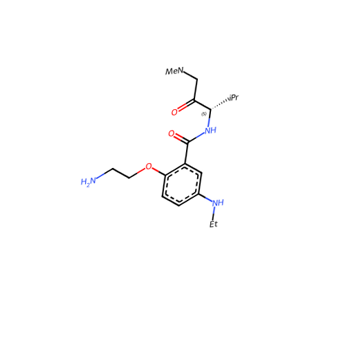 CCNc1ccc(OCCN)c(C(=O)N[C@H](C(=O)CNC)C(C)C)c1